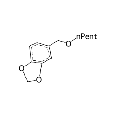 CCCCCOCc1ccc2c(c1)OCO2